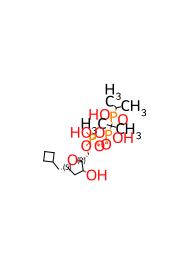 CC(C)P(=O)(O)C(C)(C)P(=O)(O)OP(=O)(O)OC[C@H]1O[C@@H](CC2CCC2)CC1O